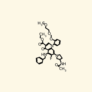 CCOC(=O)c1cn(-c2ccccc2OCOCCOC)c2cc(N3CCC(NC(C)=O)C3)c(F)c(NCc3ccccc3)c2c1=O